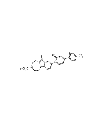 Cn1c2c(c3ccc(-n4ccc(-c5ccc(C(F)(F)F)cn5)cc4=O)cc31)CCN(C(=O)O)CC2